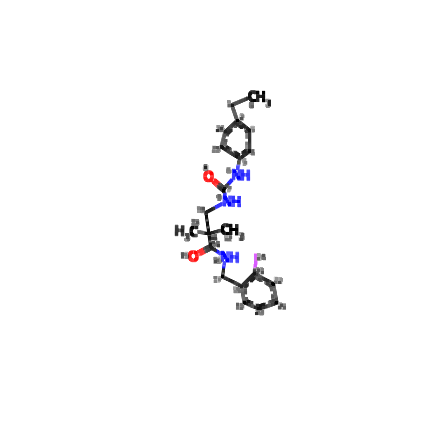 CCc1ccc(NC(=O)NCC(C)(C)C(=O)NCc2ccccc2I)cc1